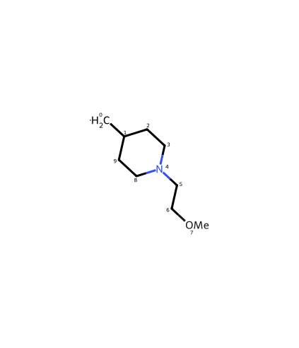 [CH2]C1CCN(CCOC)CC1